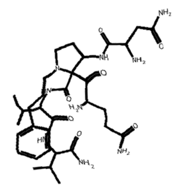 CC(C)C(NC(=O)C(NC(=O)C1(C(=O)C(N)CCC(N)=O)C(NC(=O)C(N)CC(N)=O)CCN1CCCc1ccccc1)C(C)C)C(N)=O